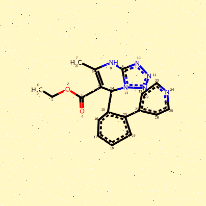 CCOC(=O)C1=C(C)Nc2nnnn2C1c1ccccc1-c1ccncc1